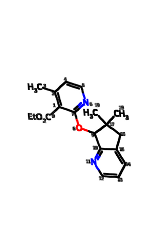 CCOC(=O)c1c(C)ccnc1OC1c2ncccc2CC1(C)C